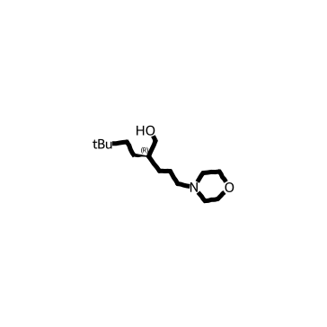 CC(C)(C)CC[C@@H](CO)CCCN1CCOCC1